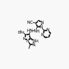 Cc1n[nH]c2c(NNc3c(C#N)cnn3-c3ncccn3)c(C(C)(C)C)nn12